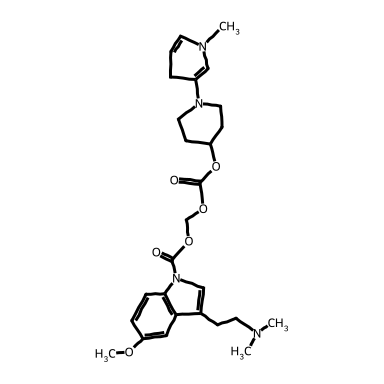 COc1ccc2c(c1)c(CCN(C)C)cn2C(=O)OCOC(=O)OC1CCN(C2=CN(C)C=CC2)CC1